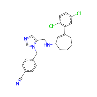 N#Cc1ccc(Cn2cncc2CNC2C=C(c3cc(Cl)ccc3Cl)CCCC2)cc1